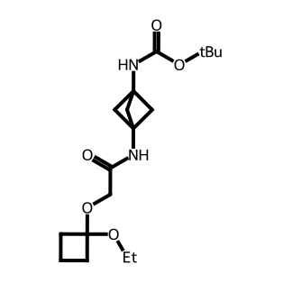 CCOC1(OCC(=O)NC23CC(NC(=O)OC(C)(C)C)(C2)C3)CCC1